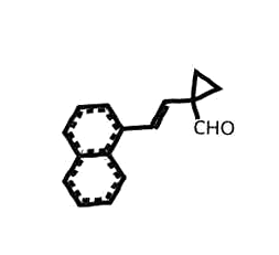 O=CC1(/C=C/c2cccc3ccccc23)CC1